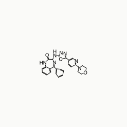 O=C1Nc2ccccc2C(c2ccccc2)=NC1Nc1nnc(-c2ccc(N3CCOCC3)nc2)o1